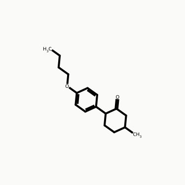 CCCCOc1ccc(C2CCC(C)CC2=O)cc1